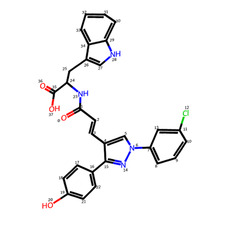 O=C(/C=C/c1cn(-c2cccc(Cl)c2)nc1-c1ccc(O)cc1)NC(Cc1c[nH]c2ccccc12)C(=O)O